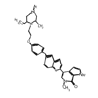 CC(=O)N1CC(C)N(CCOc2ccc(-c3ccc4nc(-c5cn(C)c(=O)c6[nH]ccc56)ccc4c3)cc2)C(C)C1